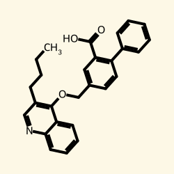 CCCCc1cnc2ccccc2c1OCc1ccc(-c2ccccc2)c(C(=O)O)c1